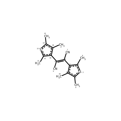 Cc1sc(C)c(/C(C#N)=C(\C#N)c2c(C)sc(C)c2C)c1C